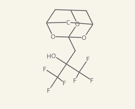 OC(CC12OC3CC(CC(C3)O1)O2)(C(F)(F)F)C(F)(F)F